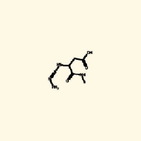 CNC(=O)C(CC(=O)O)N/B=N/P